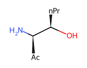 CCC[C@@H](O)[C@H](N)C(C)=O